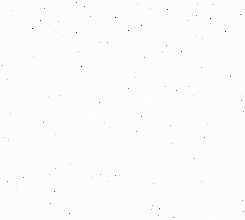 COCCOc1cccc(N2CCC3(CCN(C(=O)OC(C)(C)C)CC3)C2=O)n1